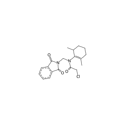 CC1=C(N(CN2C(=O)c3ccccc3C2=O)C(=O)CCl)C(C)CCC1